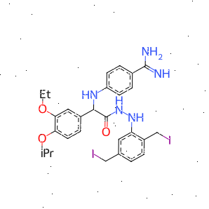 CCOc1cc(C(Nc2ccc(C(=N)N)cc2)C(=O)NNc2cc(CI)ccc2CI)ccc1OC(C)C